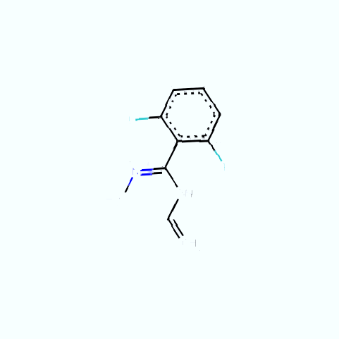 C=CB/C(=N\C)c1c(F)cccc1F